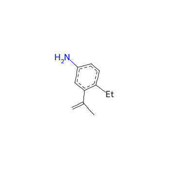 C=C(C)c1cc(N)ccc1CC